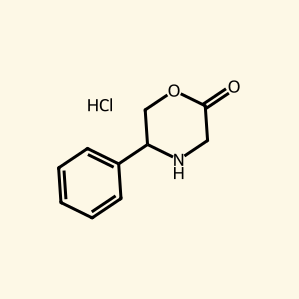 Cl.O=C1CNC(c2ccccc2)CO1